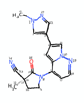 Cn1cc(-c2cc3c(N4CC[C@@](C)(C#N)C4=O)ccnn3c2)cn1